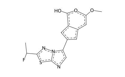 COc1cc2cc(-c3cnc4sc(C(C)F)nn34)cc-2c(O)o1